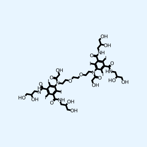 O=C(NCC(O)CO)c1c(I)c(C(=O)NCC(O)CO)c(I)c(N(CCOCCOCCN(C(=O)CO)c2c(I)c(C(=O)NCC(O)CO)c(I)c(C(=O)NCC(O)CO)c2I)C(=O)CO)c1I